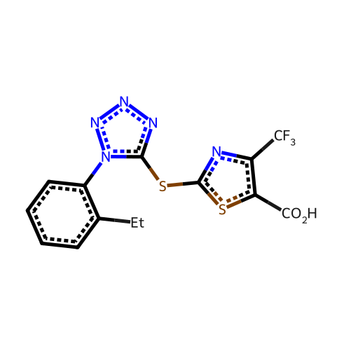 CCc1ccccc1-n1nnnc1Sc1nc(C(F)(F)F)c(C(=O)O)s1